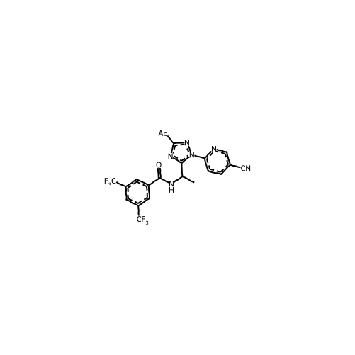 CC(=O)c1nc(C(C)NC(=O)c2cc(C(F)(F)F)cc(C(F)(F)F)c2)n(-c2ccc(C#N)cn2)n1